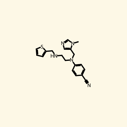 Cn1cncc1CN(CCNCc1cccs1)c1ccc(C#N)cc1